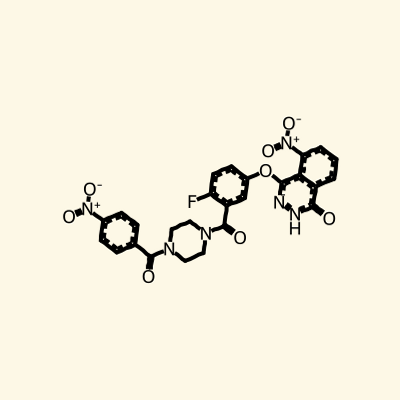 O=C(c1ccc([N+](=O)[O-])cc1)N1CCN(C(=O)c2cc(Oc3n[nH]c(=O)c4cccc([N+](=O)[O-])c34)ccc2F)CC1